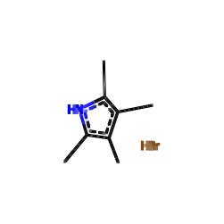 Br.Cc1[nH]c(C)c(C)c1C